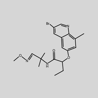 CCC(Oc1cc(C)c2ncc(Br)cc2c1)C(=O)NC(C)(C)/C=N/OC